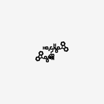 O=C(NCC(O)CCC(NC(=O)OCC1c2ccccc2-c2ccccc21)C(=O)O)OCC1c2ccccc2-c2ccccc21